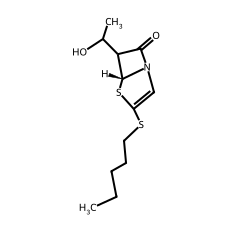 CCCCCSC1=CN2C(=O)C(C(C)O)[C@H]2S1